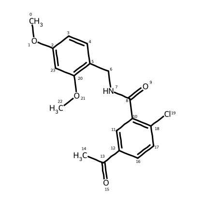 COc1ccc(CNC(=O)c2cc(C(C)=O)ccc2Cl)c(OC)c1